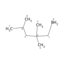 BCC(C)(C)CC(C)C